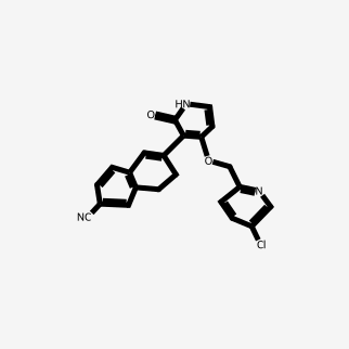 N#Cc1ccc2c(c1)CCC(c1c(OCc3ccc(Cl)cn3)cc[nH]c1=O)=C2